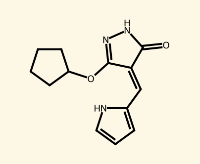 O=C1NN=C(OC2CCCC2)C1=Cc1ccc[nH]1